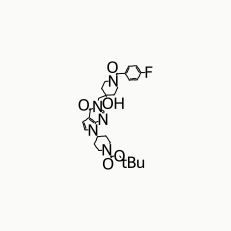 CC(C)(C)OC(=O)N1CCC(n2ccc3c(=O)n(CC4(O)CCN(C(=O)c5ccc(F)cc5)CC4)cnc32)CC1